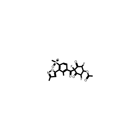 CC(=O)OC1C(F)C(=O)C(F)(C(=O)c2ccc(S(C)(=O)=O)c(-c3cc(C)no3)c2C)C(=O)C1F